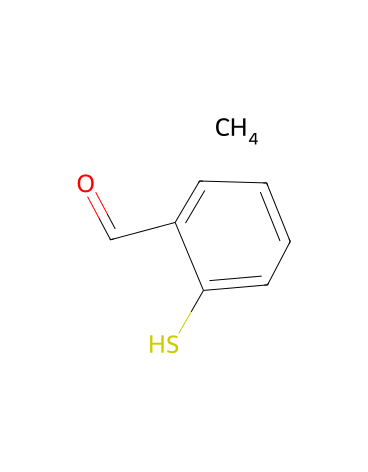 C.O=Cc1ccccc1S